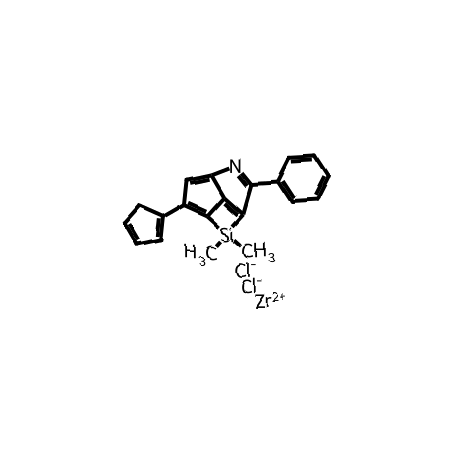 C[Si]1(C)C2=C(C3=CC=CC3)C=C3N=C(c4ccccc4)C1=C32.[Cl-].[Cl-].[Zr+2]